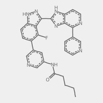 CCCCC(=O)Nc1cncc(-c2ccc3[nH]nc(-c4nc5c(-c6cccnc6)nccc5[nH]4)c3c2F)c1